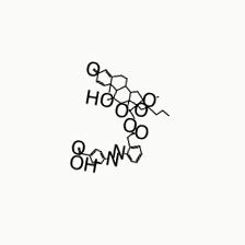 CCCC(OC)OC1(C(=O)COC(=O)Cc2ccccc2/N=N/c2ccc(C(=O)O)cc2)CCC2C3CCC4=CC(=O)C=CC4(C)C3C(O)CC21C